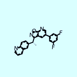 C[C@H](c1ccc2ncccc2c1)c1noc2ncc(-c3cc(F)cc(F)c3)cc12